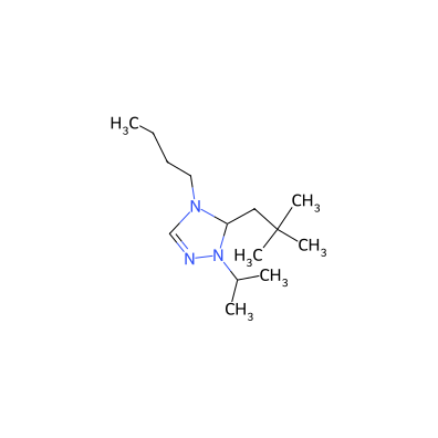 CCCCN1C=NN(C(C)C)C1CC(C)(C)C